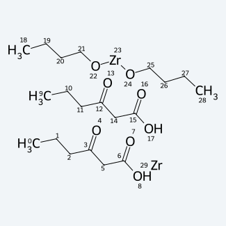 CCCC(=O)CC(=O)O.CCCC(=O)CC(=O)O.CCCC[O][Zr][O]CCCC.[Zr]